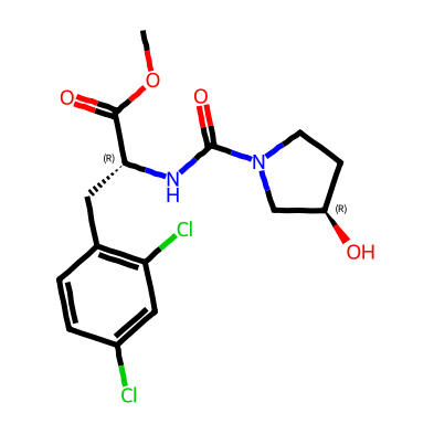 COC(=O)[C@@H](Cc1ccc(Cl)cc1Cl)NC(=O)N1CC[C@@H](O)C1